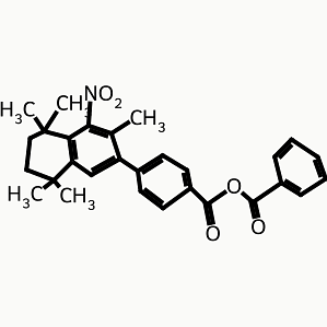 Cc1c(-c2ccc(C(=O)OC(=O)c3ccccc3)cc2)cc2c(c1[N+](=O)[O-])C(C)(C)CCC2(C)C